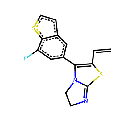 C=CC1=C(c2cc(F)c3sccc3c2)N2CCN=C2S1